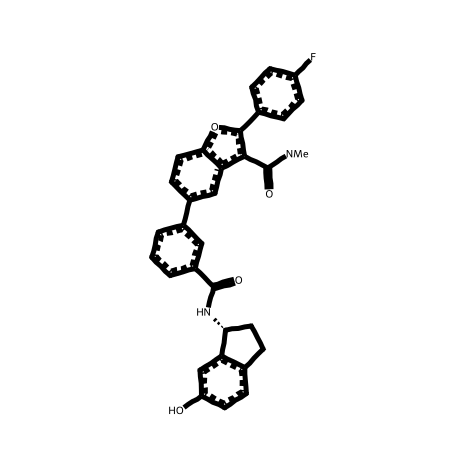 CNC(=O)c1c(-c2ccc(F)cc2)oc2ccc(-c3cccc(C(=O)N[C@@H]4CCc5ccc(O)cc54)c3)cc12